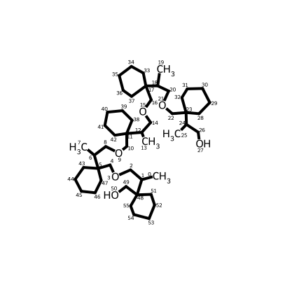 CC(COCC1(C(C)COCC2(C(C)COCC3(C(C)COCC4(C(C)CO)CCCCC4)CCCCC3)CCCCC2)CCCCC1)C1(CO)CCCCC1